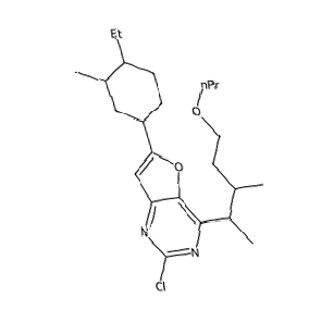 CCCOCCC(C)C(C)c1nc(Cl)nc2cc(C3CCC(CC)C(C)C3)oc12